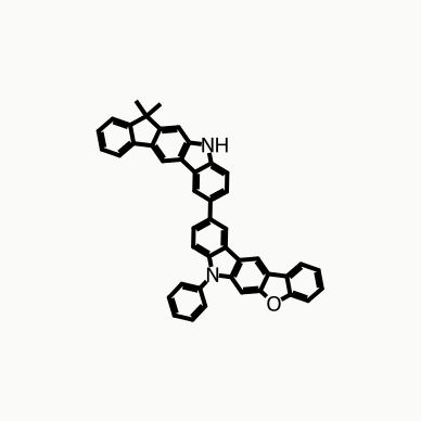 CC1(C)c2ccccc2-c2cc3c(cc21)[nH]c1ccc(-c2ccc4c(c2)c2cc5c(cc2n4-c2ccccc2)oc2ccccc25)cc13